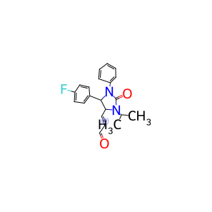 CC(C)N1C(=O)N(c2ccccc2)C(c2ccc(F)cc2)C1/C=C/C=O